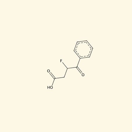 O=C(O)CC(F)C(=O)c1ccccc1